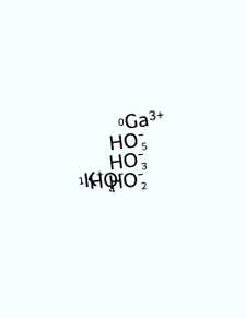 [Ga+3].[K+].[OH-].[OH-].[OH-].[OH-]